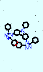 c1ccc(-c2nnc(-c3ccccc3)n2-c2ccc3c(c2)c2cc(-n4c(-c5ccccc5)nnc4-c4ccccc4)ccc2n3-c2ccccc2)cc1